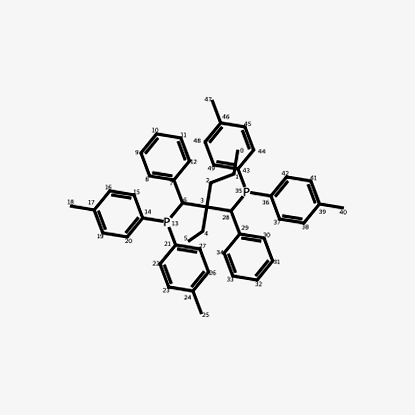 CCCC(CC)(C(c1ccccc1)P(c1ccc(C)cc1)c1ccc(C)cc1)C(c1ccccc1)P(c1ccc(C)cc1)c1ccc(C)cc1